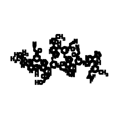 Cc1cnc(-c2cnc3c(ccn3C[C@H]3C[C@@H](Nc4c(-c5ncc(CO)o5)cnc5c4ccn5[C@H]4C[C@@H](Nc5c(-c6ncc(C(C)(C)O)o6)cnc6[nH]ccc56)CN(C(=O)CC#N)C4)CN(C(=O)CC#N)C3)c2N[C@@H]2C[C@H](Cn3ccc4c(N[C@@H]5C[C@H](n6ccc7c(N[C@@H]8C[C@H](C)CN(CC9CC9(F)F)C8)c(-c8nccs8)cnc76)CN(C(=O)CC#N)C5)c(-c5nncs5)cnc43)CN(C(=O)CC#N)C2)o1